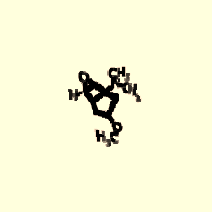 COC1CC2[C@H]3OC3C2(N(C)C)C1